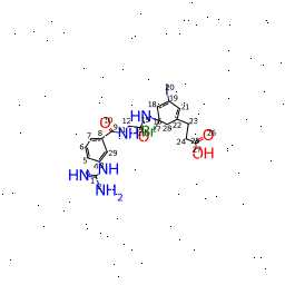 N=C(N)Nc1cccc(C(=O)NCC(=O)NC2(Br)C=C(I)C=C(CCC(=O)O)C2)c1